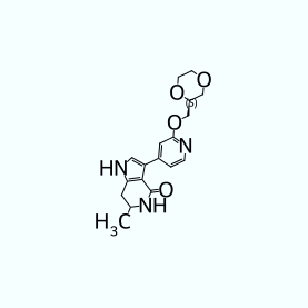 CC1Cc2[nH]cc(-c3ccnc(OC[C@@H]4COCCO4)c3)c2C(=O)N1